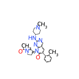 CC(=O)N1CC[C@@H](n2c(=O)c(-c3ccccc3C)cc3cnc(NC4CCN(C)CC4)nc32)C1